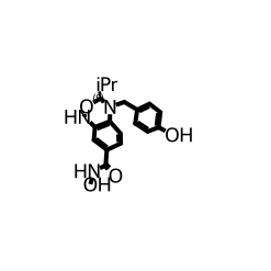 CC(C)[C@@H]1ONc2cc(C(=O)NO)ccc2N1Cc1ccc(O)cc1